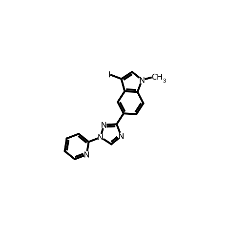 Cn1cc(I)c2cc(-c3ncn(-c4ccccn4)n3)ccc21